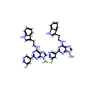 CCC(C)n1cnc2c(NCCc3c[nH]c4ccccc34)nc(-c3cncc(F)c3)nc21.CC[C@H](C)n1cnc2c(NCCc3c[nH]c4ccccc34)nc(-c3cncc(F)c3)nc21